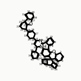 C1=CCC2Oc3c(-c4ccccc4C4=NC(C5CC=C(C6CC=Cc7c6oc6ccccc76)CC5)=CC(c5ccccc5)N4)cccc3C3(C2=C1)c1ccccc1-c1ccccc13